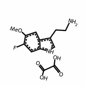 COc1cc2c(CCN)c[nH]c2cc1F.O=C(O)C(=O)O